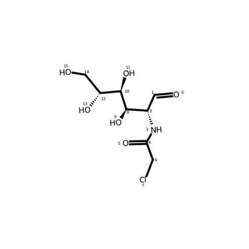 O=C[C@H](NC(=O)CCl)[C@@H](O)[C@H](O)[C@H](O)CO